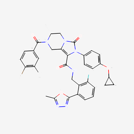 Cc1nnc(-c2cccc(F)c2CNC(=O)c2c3n(c(=O)n2-c2ccc(OC4CC4)cc2)C[C@@H](C)N(C(=O)c2ccc(Br)c(C(F)(F)F)c2)C3)o1